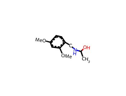 COc1ccc(CNC(C)O)c(OC)c1